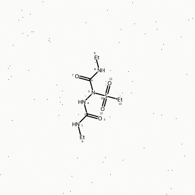 CCNC(=O)NN(C(=O)NCC)S(=O)(=O)CC